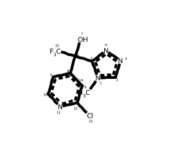 Cn1cnnc1C(O)(c1ccnc(Cl)c1)C(F)(F)F